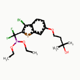 CCOP(OCC)C(F)(F)c1sc2cc(OCCC(C)(C)O)ccc2c1Br